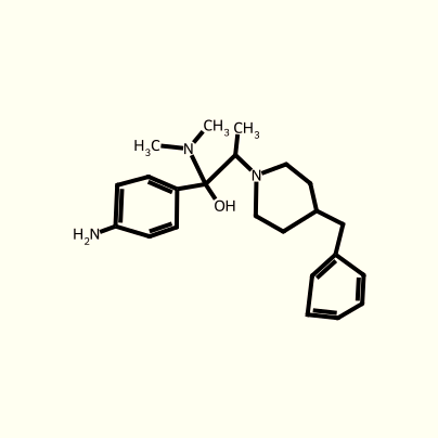 CC(N1CCC(Cc2ccccc2)CC1)C(O)(c1ccc(N)cc1)N(C)C